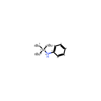 CCC[CH2][Sn]([CH2]CCC)([CH2]CCC)[NH]c1ccccc1